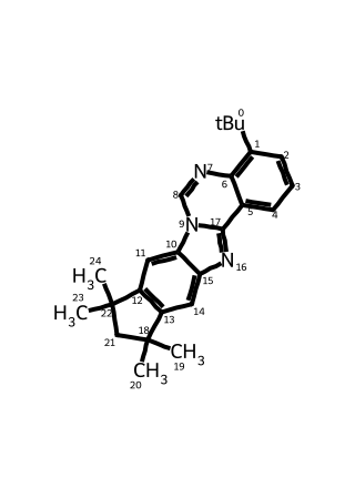 CC(C)(C)c1cccc2c1ncn1c3cc4c(cc3nc21)C(C)(C)CC4(C)C